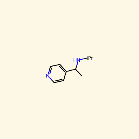 CC(C)NC(C)c1ccncc1